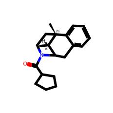 C[C@@H]1C2Cc3ccccc3[C@@]1(C)CCN2C(=O)C1CCCC1